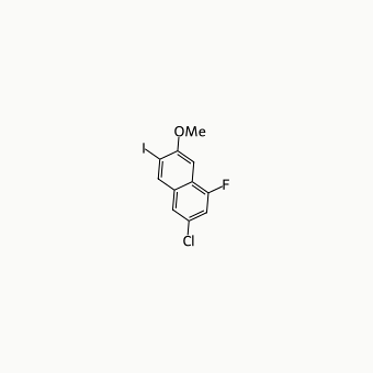 COc1cc2c(F)cc(Cl)cc2cc1I